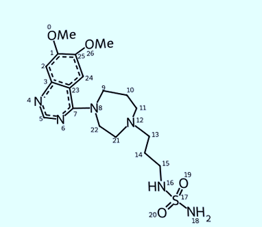 COc1cc2ncnc(N3CCCN(CCCNS(N)(=O)=O)CC3)c2cc1OC